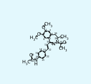 COc1cc2c(cc1OC)C(/C=C/c1ccc(NC(C)=O)cc1)=NN(C(C)=O)C(C)C2